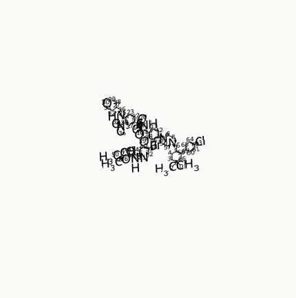 CC1(C)CCC(CN2CCN(c3ccc(C(=O)NS(=O)(=O)c4ccc(NCC5CCOCC5)c([N+](=O)[O-])c4)c(Oc4cc(NC(=O)OC(C)(C)C)ncc4Br)c3)CC2)=C(c2ccc(Cl)cc2)C1